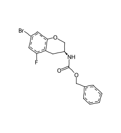 O=C(N[C@@H]1COc2cc(Br)cc(F)c2C1)OCc1ccccc1